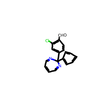 O=Cc1ccc(C2(c3ccccc3)N=CC=CC=N2)cc1Cl